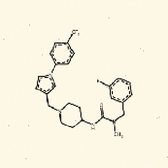 CN(Cc1cccc(F)c1)C(=O)NC1CCN(Cc2ccn(-c3ccc(C(F)(F)F)cc3)c2)CC1